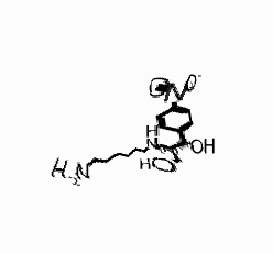 NCCCCCCN[C@H](CO)[C@H](O)c1ccc([N+](=O)[O-])cc1